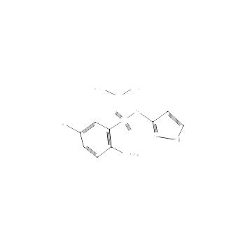 CC(C)(C)OC=O.COc1ccc(Br)cc1S(=O)(=O)Nc1cc[nH]n1